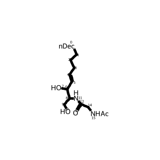 CCCCCCCCCCCCCC=CC(O)C(CO)NC(=O)CNC(C)=O